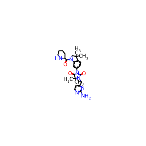 CC1(C)CN(C(=O)C2CCCCN2)c2cc(N3C(=O)N(Cc4ccnc(N)n4)C(C)(C)C3=O)ccc21